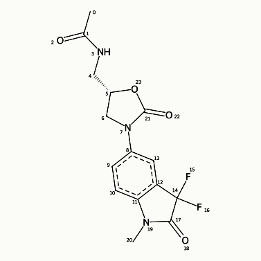 CC(=O)NC[C@H]1CN(c2ccc3c(c2)C(F)(F)C(=O)N3C)C(=O)O1